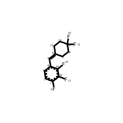 Fc1ccc(C=C2CCC(F)(F)CC2)c(F)c1F